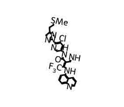 CSCCc1cnn(-c2ncc(NC(=O)/C(C=N)=C(/Nc3cccc4ncccc34)C(F)(F)F)cc2Cl)n1